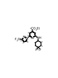 CCOC(=O)c1cc(NC2CCC(F)(F)CC2)nc(-n2ccc(C(F)(F)F)n2)c1